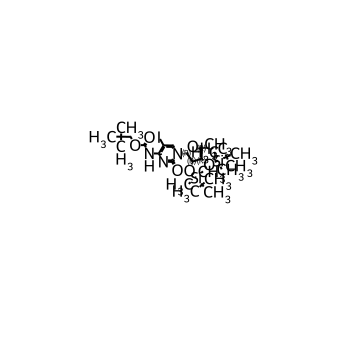 C[C@H]1O[C@@H](n2cc(I)c(NC(=O)OCC(C)(C)C)nc2=O)[C@H](O[Si](C)(C)C(C)(C)C)[C@@H]1O[Si](C)(C)C(C)(C)C